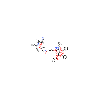 CC(=O)N[C@H]1C(OC(=O)c2ccccc2)[C@@H](OC(=O)c2ccccc2)C(COC(=O)c2ccccc2)O[C@H]1OCCCCC(=O)N1CCC(OP(OCCC#N)N(C(C)C)C(C)C)CC1